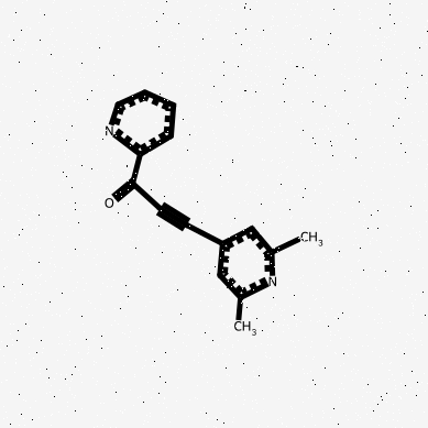 Cc1cc(C#CC(=O)c2ccccn2)cc(C)n1